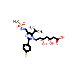 CC(C)c1c(CNS(C)(=O)=O)nc(-c2ccc(F)cc2)n1CC[C@@H](O)C[C@@H](O)CC(=O)O